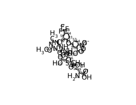 COc1nc(C)nc(NC(=O)NS(=O)(=O)c2ccsc2C(=O)O)n1.CP(=O)(O)CCC(N)C(=O)O.O=C(O)c1cc(Oc2ccc(C(F)(F)F)cc2Cl)ccc1[N+](=O)[O-]